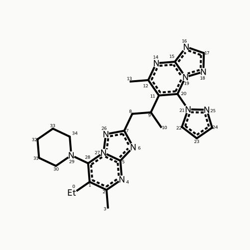 CCc1c(C)nc2nc(CC(C)c3c(C)nc4ncnn4c3-n3cccn3)nn2c1N1CCCCC1